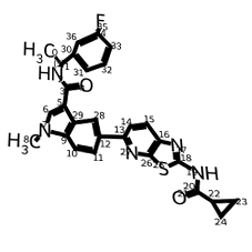 C[C@H](NC(=O)c1cn(C)c2ccc(-c3ccc4nc(NC(=O)C5CC5)sc4n3)cc12)c1cccc(F)c1